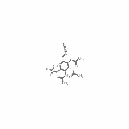 CC(=O)N[C@H]1[C@@H](OP(=O)(O)O)O[C@H](CN=[N+]=[N-])[C@@H](OC(C)=O)[C@@H]1OC(C)=O